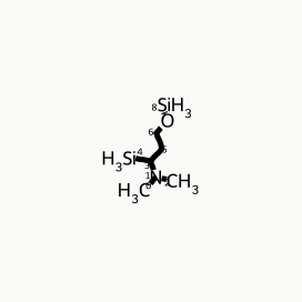 CN(C)C([SiH3])CCO[SiH3]